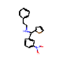 O=[N+]([O-])c1cccc(C(NCCc2ccccc2)c2cccs2)c1